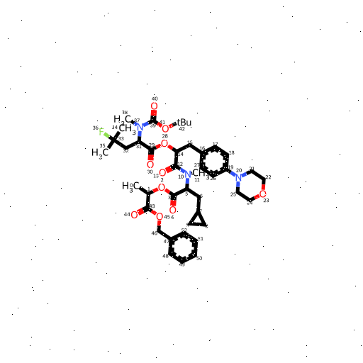 CC(OC(=O)C(CC1CC1)N(C)C(=O)C(Cc1ccc(N2CCOCC2)cc1)OC(=O)C(CC(C)(C)F)N(C)C(=O)OC(C)(C)C)C(=O)OCc1ccccc1